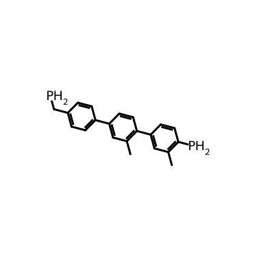 Cc1cc(-c2ccc(-c3ccc(CP)cc3)cc2C)ccc1P